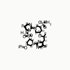 CC(C)O[C@@H]1C[C@H](S(N)(=O)=O)CN(c2ncc(F)c(CC(C)O[C@H]3C[C@@H](S(N)(=O)=O)CN(c4ncc(F)cn4)C3)n2)C1